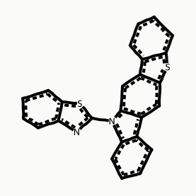 c1ccc2sc(-n3c4ccccc4c4cc5sc6ccccc6c5cc43)nc2c1